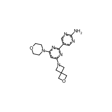 Nc1ncc(-c2nc(N3CCOCC3)cc(N3CC4(COC4)C3)n2)cn1